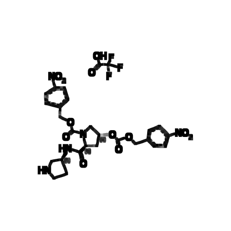 O=C(O)C(F)(F)F.O=C(OCc1ccc([N+](=O)[O-])cc1)O[C@@H]1C[C@@H](C(=O)N[C@H]2CCNC2)N(C(=O)OCc2ccc([N+](=O)[O-])cc2)C1